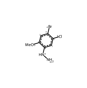 COc1cc(Br)c(Cl)cc1NN